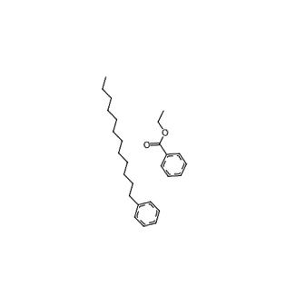 CCCCCCCCCCCCc1ccccc1.CCOC(=O)c1ccccc1